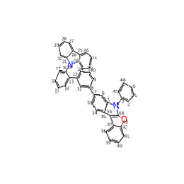 c1ccc(-n2c3cc(-c4cccc(-c5ccccc5-n5c6ccccc6c6ccccc65)c4)ccc3c3c4ccccc4oc32)cc1